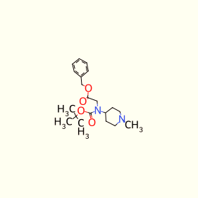 CN1CCC(N(CC(=O)OCc2ccccc2)C(=O)OC(C)(C)C)CC1